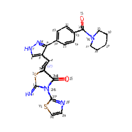 N=C1S/C(=C\c2c[nH]nc2-c2ccc(C(=O)N3CCCCC3)cc2)C(=O)N1c1nccs1